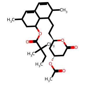 CCC(C)(C)C(=O)OC1CC(C)C=C2C=CC(C)C(CC[C@@H]3C[C@@H](OC(C)=O)CC(=O)O3)C21